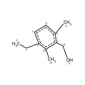 CCc1ccc(C)c(CO)c1C